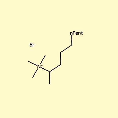 CCCCCCCCC(C)[N+](C)(C)C.[Br-]